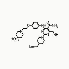 CC1(O)CCN(CCOc2ccc(Nc3nc(N4CCC(CC#N)CC4)nc(C=N)c3C(N)=O)cc2)CC1